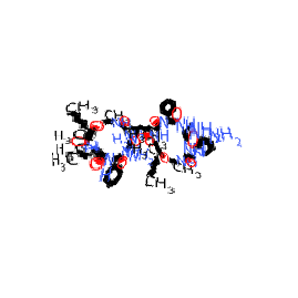 CCCCCC[C@H]1OC[C@@H](C)NC(=O)C(CN2CCC(N)CC2)NC(=O)[C@H](CN)NC(=O)[C@H](C2CCCCC2)NC(=O)[C@H](CC(C)CC(C[C@@H]2NC(=O)[C@H](CN)NC(=O)[C@H](C3CCCCCC3)NC(=O)[C@H](CCC)N(C)C(=O)[C@H](C)[C@@H](CCCCCC)OC[C@@H](C)NC2=O)C(N)=O)N(C)C(=O)[C@@H]1C